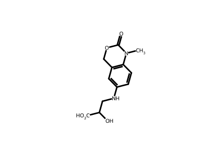 CN1C(=O)OCc2cc(NCC(O)C(=O)O)ccc21